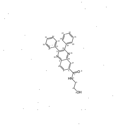 O=C(NCCO)c1ccc2nc(-c3ccccc3)c(-c3ccccc3)nc2c1